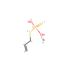 C=CCSP(O)(O)=S.[Ti]